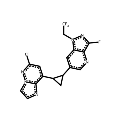 Fc1nn(CC(F)(F)F)c2cc(C3CC3c3cc(Cl)nn4ccnc34)cnc12